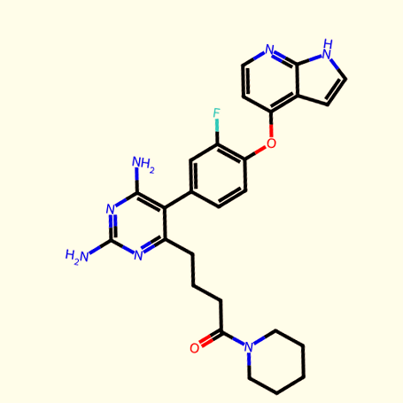 Nc1nc(N)c(-c2ccc(Oc3ccnc4[nH]ccc34)c(F)c2)c(CCCC(=O)N2CCCCC2)n1